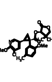 COc1ccc(C)cc1[C@]1(C(=O)O[C@H]2C(=O)OCC2(C)C)C[C@@H]1c1cnc(OC)c(Cl)c1